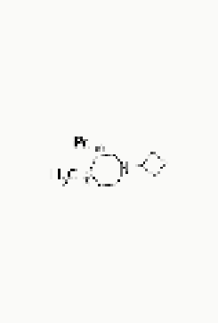 CC(C)[C@@H]1CN(C2CCC2)CC[C@@H]1C